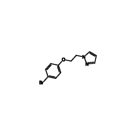 Brc1ccc(OCCn2cccn2)cc1